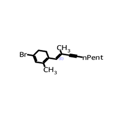 CCCCCC#C/C(C)=C/C1=C(C)C=C(Br)CC1